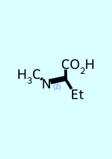 CC/C(=N/C)C(=O)O